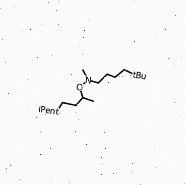 CCCC(C)CCC(C)ON(C)CCCCC(C)(C)C